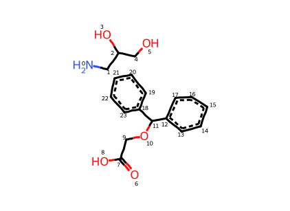 NCC(O)CO.O=C(O)COC(c1ccccc1)c1ccccc1